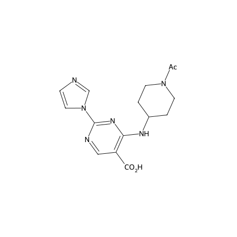 CC(=O)N1CCC(Nc2nc(-n3ccnc3)ncc2C(=O)O)CC1